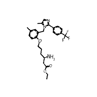 CCOC(=O)C[C@H](N)CCCOc1ccc(C)cc1Cn1c(C)cnc1-c1ccc(C(F)(F)F)cc1